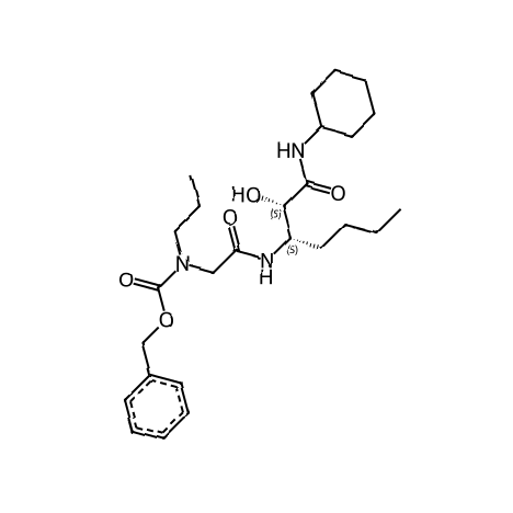 CCCC[C@H](NC(=O)CN(CCC)C(=O)OCc1ccccc1)[C@H](O)C(=O)NC1CCCCC1